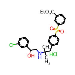 CCOC(=O)c1cccc(S(=O)(=O)c2ccc(CC(C)(C)NC[C@H](O)c3cccc(Cl)c3)cc2)c1.Cl